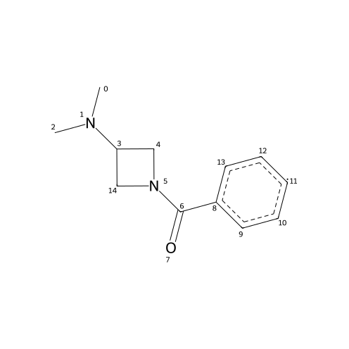 CN(C)C1CN(C(=O)c2cc[c]cc2)C1